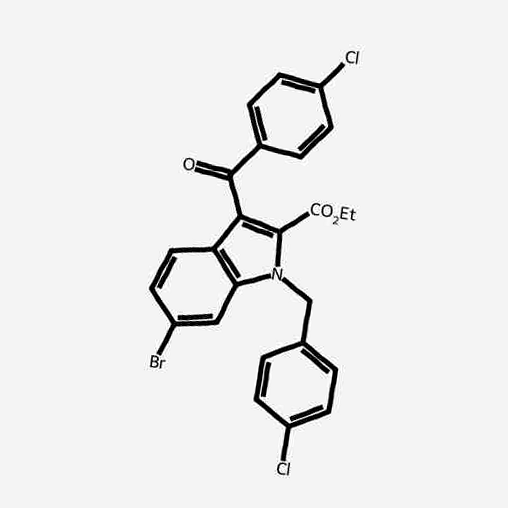 CCOC(=O)c1c(C(=O)c2ccc(Cl)cc2)c2ccc(Br)cc2n1Cc1ccc(Cl)cc1